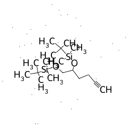 C#CCCC(CO[Si](C)(C)C(C)(C)C)O[Si](C)(C)C(C)(C)C